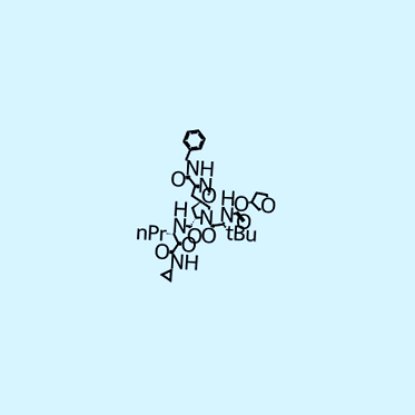 CCC[C@H](NC(=O)[C@@H]1C[C@]2(CC(C(=O)NCc3ccccc3)=NO2)CN1C(=O)[C@@H](NC(=O)O[C@H]1CCOC1)C(C)(C)C)C(=O)C(=O)NC1CC1